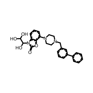 O=c1oc2c(N3CCN(Cc4cccc(-c5ccccc5)c4)CC3)cccc2n1C(O)C(O)O